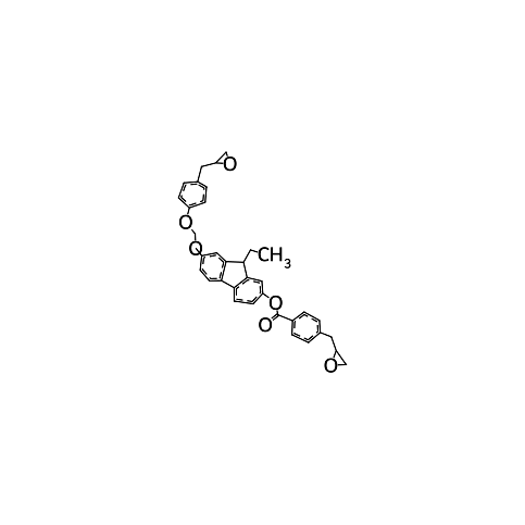 CCC1c2cc(OCOc3ccc(CC4CO4)cc3)ccc2-c2ccc(OC(=O)c3ccc(CC4CO4)cc3)cc21